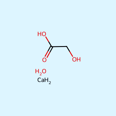 O.O=C(O)CO.[CaH2]